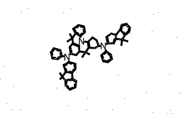 CC1(C)C2=CC(N(c3ccccc3)C3CCC4=C(C3)C(C)(C)C3CC(N(c5ccccc5)c5ccc6c(c5)C(C)(C)c5ccccc5-6)=CC5=C3N4c3ccccc3C5(C)C)=CCC2c2ccccc21